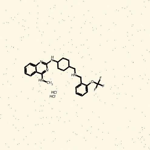 CNc1nc(NC2CCC(CNCc3ccccc3OC(F)(F)F)CC2)nc2ccccc12.Cl.Cl